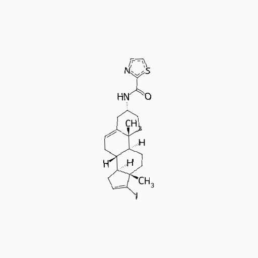 C[C@]12CC[C@@H](NC(=O)c3nccs3)CC1=CC[C@@H]1[C@@H]2CC[C@]2(C)C(I)=CC[C@@H]12